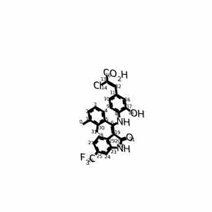 Cc1cccc(C(Nc2ccc(C=C(Cl)C(=O)O)cc2O)=C2C(=O)Nc3cc(C(F)(F)F)ccc32)c1C